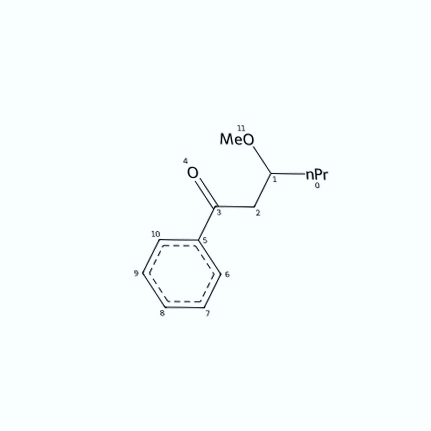 CCCC(CC(=O)c1ccccc1)OC